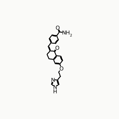 NC(=O)c1ccc(C=C2CCc3cc(OCCc4c[nH]cn4)ccc3C2=O)cc1